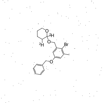 [2H]C1CCCOC1([2H])OCc1cc(OCc2ccccc2)cc(C)c1Br